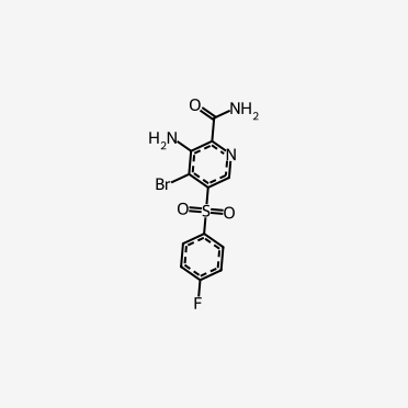 NC(=O)c1ncc(S(=O)(=O)c2ccc(F)cc2)c(Br)c1N